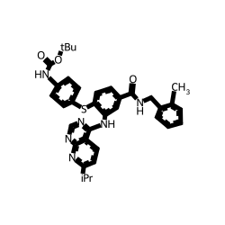 Cc1ccccc1CNC(=O)c1ccc(Sc2ccc(NC(=O)OC(C)(C)C)cc2)c(Nc2ncnc3nc(C(C)C)ccc23)c1